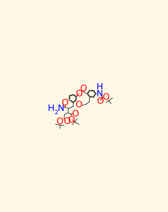 CC(C)(C)OC(=O)CC(C(=O)OC(C)(C)C)C(Cc1cccc2c1OCCCc1cc(NC(=O)OC(C)(C)C)ccc1C(=O)O2)C(N)=O